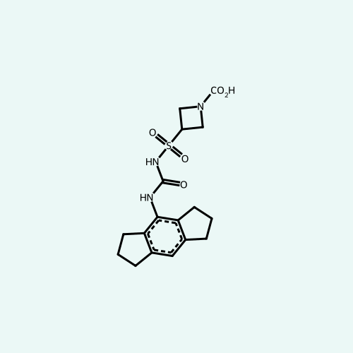 O=C(Nc1c2c(cc3c1CCC3)CCC2)NS(=O)(=O)C1CN(C(=O)O)C1